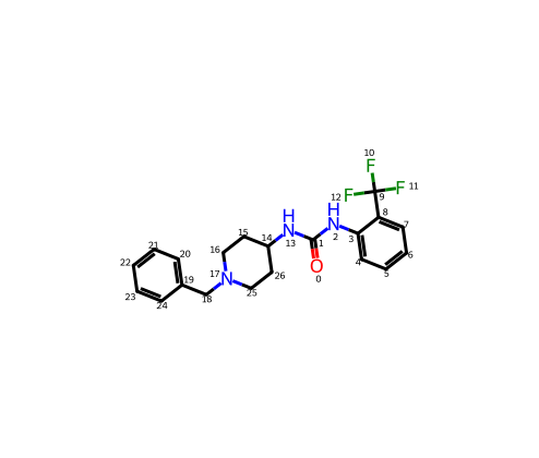 O=C(Nc1ccccc1C(F)(F)F)NC1CCN(Cc2ccccc2)CC1